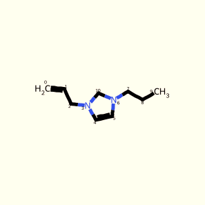 C=CCN1C=CN(CCC)C1